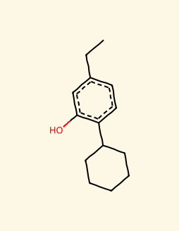 CCc1ccc(C2CCCCC2)c(O)c1